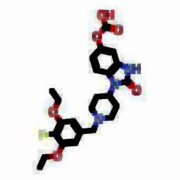 CCOc1cc(CN2CCC(n3c(=O)[nH]c4cc(OC(=O)O)ccc43)CC2)cc(OCC)c1F